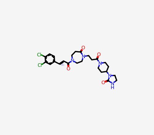 O=C(/C=C/c1ccc(Cl)c(Cl)c1)N1CCC(=O)N(CCC(=O)N2CCC(N3CCNC3=O)CC2)CC1